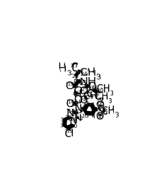 COc1cc(S(C)(=O)=O)ccc1N(C(=O)OCOC(=O)[C@H](CC(C)C)NC(=O)OC(C)(C)C)c1nc2ccc(Cl)cn2n1